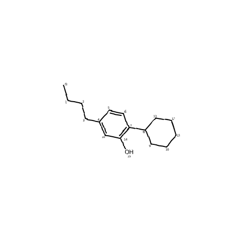 CCCCc1ccc(C2CCCCC2)c(O)c1